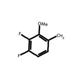 COc1c(C)ccc(F)c1F